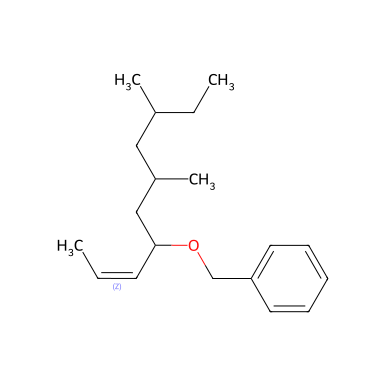 C/C=C\C(CC(C)CC(C)CC)OCc1ccccc1